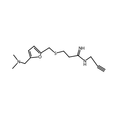 C#CCNC(=N)CCSCc1ccc(CN(C)C)o1